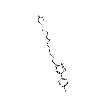 Cc1ccc(-c2cn(CCOCCOCCOCCN)nn2)cc1